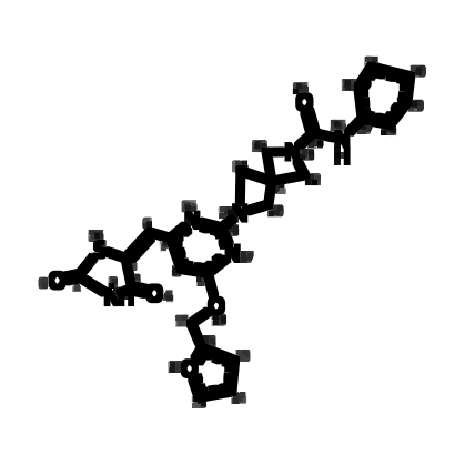 O=C1NC(=O)/C(=C\c2cc(OCc3ccco3)nc(N3CC4(CN(C(=O)Nc5ccccc5)C4)C3)n2)S1